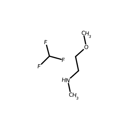 CNCCOC.FC(F)F